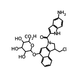 Nc1ccc2[nH]c(C(=O)N3CC(CCl)c4c3cc(OC3OC(C(=O)O)C(O)C(O)C3O)c3ccccc43)cc2c1